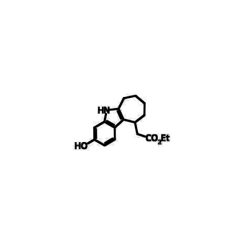 CCOC(=O)CC1CCCCc2[nH]c3cc(O)ccc3c21